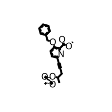 COC(=O)c1nc(C#CCC(C)OS(C)(=O)=O)ccc1OCc1ccccc1